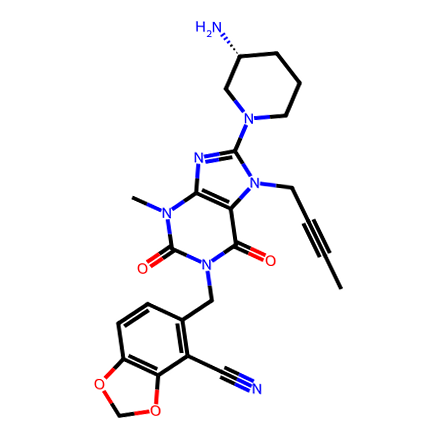 CC#CCn1c(N2CCC[C@@H](N)C2)nc2c1c(=O)n(Cc1ccc3c(c1C#N)OCO3)c(=O)n2C